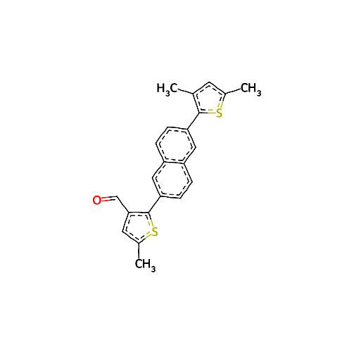 Cc1cc(C)c(-c2ccc3cc(-c4sc(C)cc4C=O)ccc3c2)s1